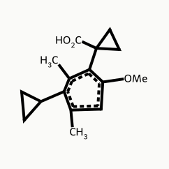 COc1cc(C)c(C2CC2)c(C)c1C1(C(=O)O)CC1